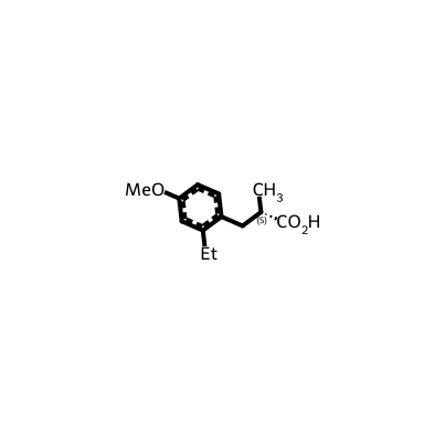 CCc1cc(OC)ccc1C[C@H](C)C(=O)O